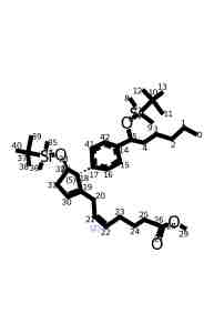 CCCCCC(O[Si](C)(C)C(C)(C)C)c1ccc([C@@H]2C(C/C=C\CCCC(=O)OC)=CC[C@H]2O[Si](C)(C)C(C)(C)C)cc1